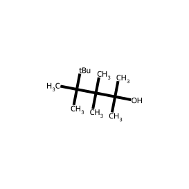 CC(C)(C)C(C)(C)C(C)(C)C(C)(C)O